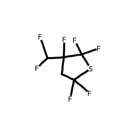 FC(F)C1(F)CC(F)(F)SC1(F)F